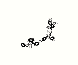 O=C(N[C@@H](c1ccccc1)c1cccc(OCc2ccc(C(=O)N(CCCNCC(O)c3ccc(O)c4[nH]c(=O)ccc34)Cc3cccc(Cl)c3)cc2)c1)OC1CN2CCC1CC2